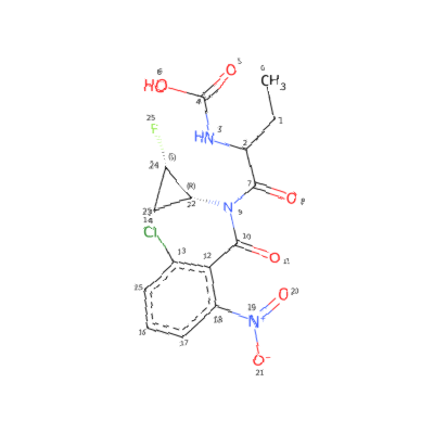 CCC(NC(=O)O)C(=O)N(C(=O)c1c(Cl)cccc1[N+](=O)[O-])[C@@H]1C[C@@H]1F